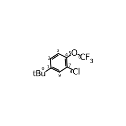 CC(C)(C)c1ccc(OC(F)(F)F)c(Cl)c1